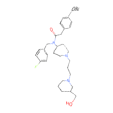 CC(C)COc1ccc(CC(=O)N(Cc2ccc(F)cc2)C2CCN(CCCN3CCCC(CO)C3)CC2)cc1